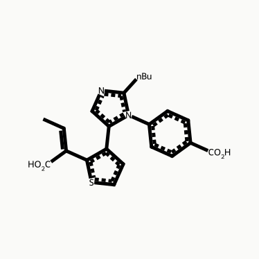 CC=C(C(=O)O)c1sccc1-c1cnc(CCCC)n1-c1ccc(C(=O)O)cc1